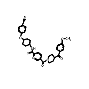 COc1ccc(C(=O)C2CCN(C(=O)c3ccc(C(=O)NC4CCC(Oc5ccc(C#N)cc5)CC4)nc3)CC2)cc1